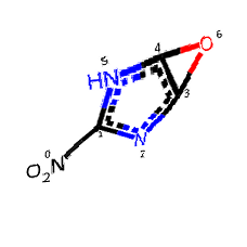 O=[N+]([O-])c1nc2c([nH]1)O2